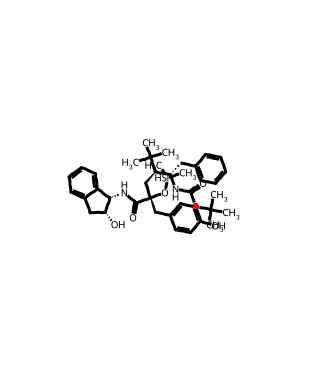 C[SiH](C)O[C@@](Cc1ccc(O)cc1)(C[C@H]([C@H](Cc1ccccc1)NC(=O)OC(C)(C)C)C(C)(C)C)C(=O)N[C@H]1c2ccccc2C[C@H]1O